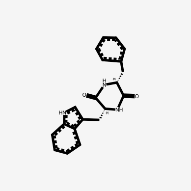 O=C1N[C@H](Cc2c[nH]c3ccccc23)C(=O)N[C@@H]1Cc1ccccc1